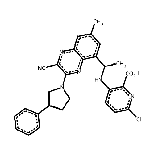 Cc1cc([C@@H](C)Nc2ccc(Cl)nc2C(=O)O)c2nc(N3CCC(c4ccccc4)C3)c(C#N)nc2c1